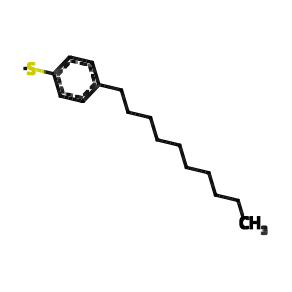 CCCCCCCCCCc1ccc([S])cc1